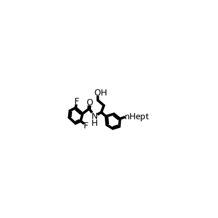 CCCCCCCc1cccc(C(CCO)NC(=O)c2c(F)cccc2F)c1